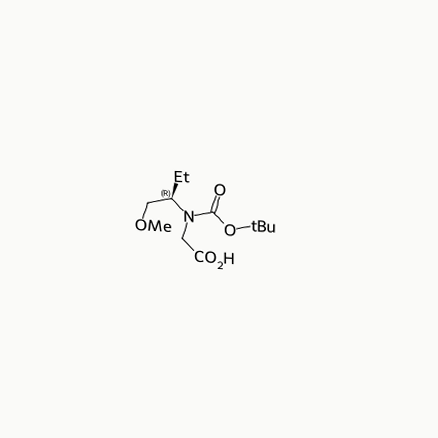 CC[C@H](COC)N(CC(=O)O)C(=O)OC(C)(C)C